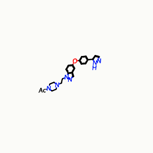 CC(=O)N1CCN(CCn2ncc3cc(Oc4ccc(-c5ccn[nH]5)cc4)ccc32)CC1